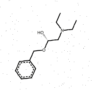 CCN(CC)C[C@@H](O)OCc1ccccc1